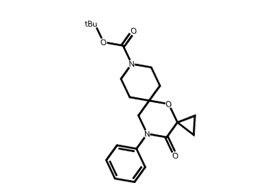 CC(C)(C)OC(=O)N1CCC2(CC1)CN(c1ccccc1)C(=O)C1(CC1)O2